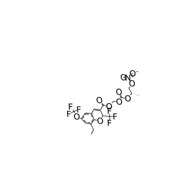 CCc1cc(OC(F)(F)F)cc2c1OC(C(F)(F)F)C(C(=O)OCOC(=O)O[C@@H](C)CO[N+](=O)[O-])=C2